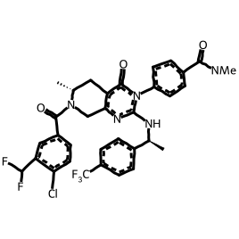 CNC(=O)c1ccc(-n2c(N[C@@H](C)c3ccc(C(F)(F)F)cc3)nc3c(c2=O)C[C@@H](C)N(C(=O)c2ccc(Cl)c(C(F)F)c2)C3)cc1